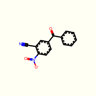 N#Cc1cc(C(=O)c2ccccc2)ccc1[N+](=O)[O-]